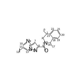 CC1CN(C(=O)c2cc3ncc(I)cn3n2)C(C)c2ccccc21